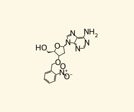 Nc1ncnc2c1ncn2[C@H]1CC(OCc2ccccc2[N+](=O)[O-])[C@@H](CO)O1